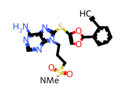 C#Cc1ccccc1C1OC=C(Sc2nc3c(N)ncnc3n2CCCS(=O)(=O)NC)O1